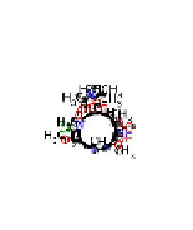 COc1cc2cc(c1Cl)N(C)C(=O)C[C@H](OC(=O)[C@H](C)N(C)C(=O)C(C)(C)C)[C@]1(C)O[C@H]1C(C)[C@@H]1C[C@@](O)(NC(=O)O1)[C@H](OC)/C=C\C=C(/C)C2